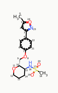 Cc1cc(-c2ccc(OC[C@H]3OCCC[C@@H]3NS(C)(=O)=O)cc2)no1